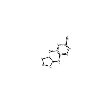 Clc1cc(Br)ccc1OC1CCCC1